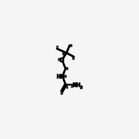 C=C(N)NCOC(C)(C)C